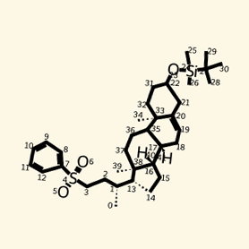 C[C@H](CCS(=O)(=O)c1ccccc1)[C@H]1CC[C@H]2[C@@H]3CC=C4CC(O[Si](C)(C)C(C)(C)C)CC[C@]4(C)C3CC[C@]12C